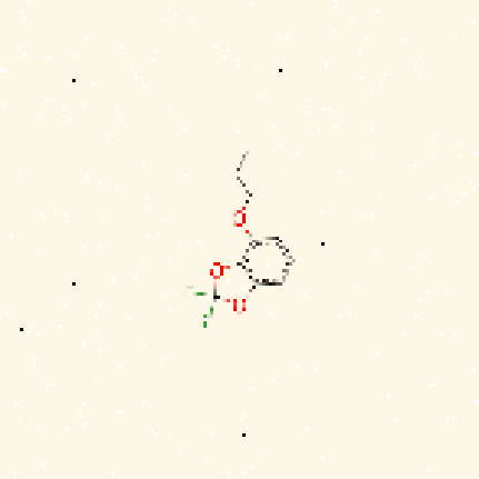 CCCOc1cccc2c1OC(F)(F)O2